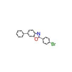 Brc1ccc(-c2nc3ccc(-c4ccccc4)cc3o2)cc1